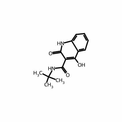 CC(C)(C)NC(=O)c1c(O)c2ccccc2[nH]c1=O